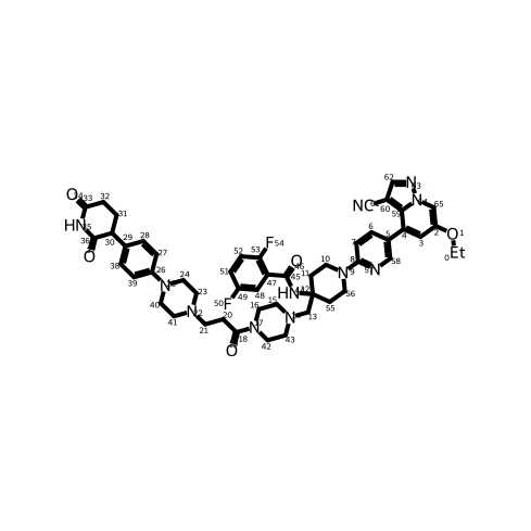 CCOc1cc(-c2ccc(N3CCC(CN4CCN(C(=O)CCN5CCN(c6ccc(C7CCC(=O)NC7=O)cc6)CC5)CC4)(NC(=O)c4cc(F)ccc4F)CC3)nc2)c2c(C#N)cnn2c1